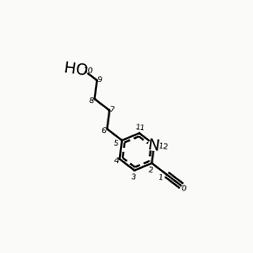 C#Cc1ccc(CCCCO)cn1